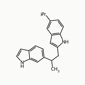 CC(C)c1ccc2[nH]c(CC(C)c3ccc4cc[nH]c4c3)cc2c1